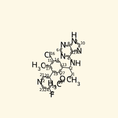 CCC(Nc1ncnc2[nH]cnc12)c1cc(Cl)c(C)c(-c2cncc(F)c2)c1OC